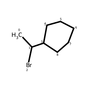 CC(Br)C1[CH]CC[CH]C1